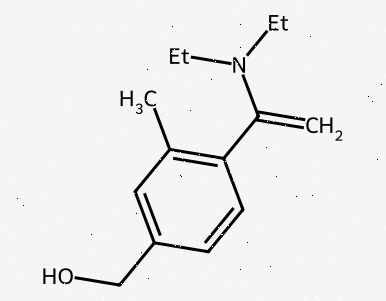 C=C(c1ccc(CO)cc1C)N(CC)CC